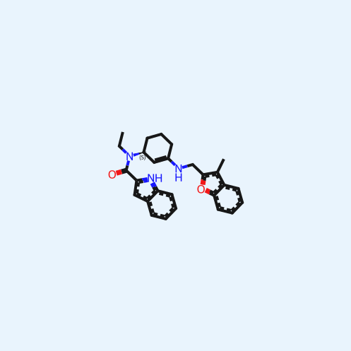 CCN(C(=O)c1cc2ccccc2[nH]1)[C@@H]1C=C(NCc2oc3ccccc3c2C)CCC1